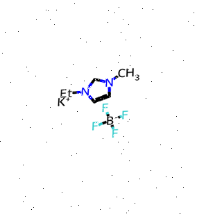 CCN1C=CN(C)C1.F[B-](F)(F)F.[K+]